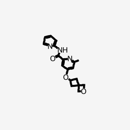 Cc1cc(OC2CC3(COC3)C2)cc(C(=O)Nc2ccccn2)n1